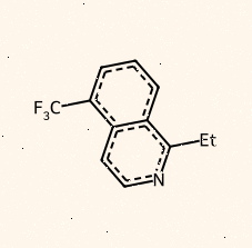 CCc1nccc2c(C(F)(F)F)cccc12